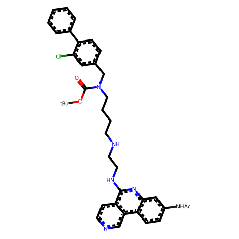 CC(=O)Nc1ccc2c(c1)nc(NCCNCCCCN(Cc1ccc(-c3ccccc3)c(Cl)c1)C(=O)OC(C)(C)C)c1ccncc12